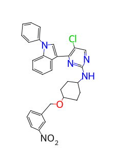 O=[N+]([O-])c1cccc(COC2CCC(Nc3ncc(Cl)c(-c4cn(-c5ccccc5)c5ccccc45)n3)CC2)c1